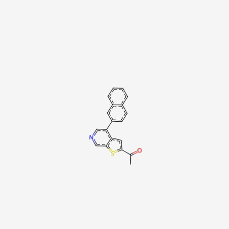 CC(=O)c1cc2c(-c3ccc4ccccc4c3)cncc2s1